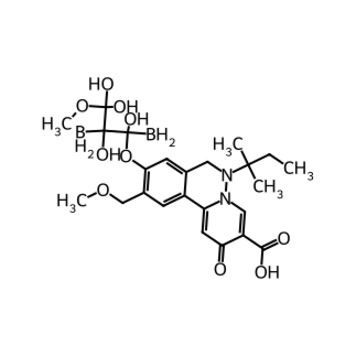 BC(O)(Oc1cc2c(cc1COC)-c1cc(=O)c(C(=O)O)cn1N(C(C)(C)CC)C2)C(B)(O)C(O)(O)OC